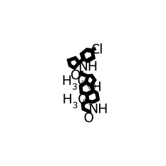 C[C@]12CCC(=O)NC1CCC1=C2CC[C@]2(C)C(C(=O)NC3(c4ccc(Cl)cc4)CCCC3)CC[C@@H]12